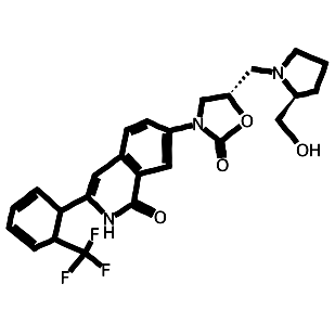 O=C1O[C@@H](CN2CCC[C@H]2CO)CN1c1ccc2cc(C3C=CC=CC3C(F)(F)F)[nH]c(=O)c2c1